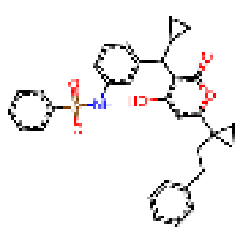 O=c1oc(C2(CCc3ccccc3)CC2)cc(O)c1C(c1cccc(NS(=O)(=O)c2ccccc2)c1)C1CC1